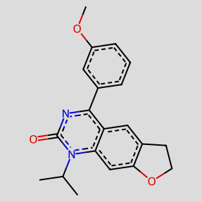 COc1cccc(-c2nc(=O)n(C(C)C)c3cc4c(cc23)CCO4)c1